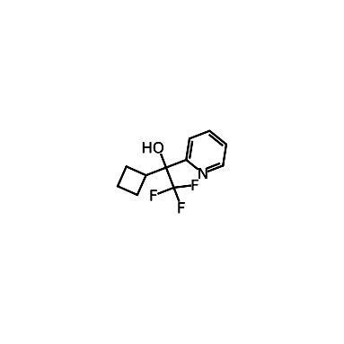 OC(c1ccccn1)(C1CCC1)C(F)(F)F